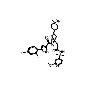 COc1cc(C(C)(C)NC(=O)CC2(NC(=O)c3cc(-c4ccc(F)cc4F)on3)CN(C3CCC(C)(O)CC3)C2)ccn1